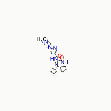 CN1CCN(c2ccc(C(=O)NC3N=C(c4ccccc4)c4ccccc4NC3=O)cn2)CC1